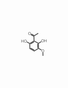 COc1ccc(O)c(C(C)=O)c1O